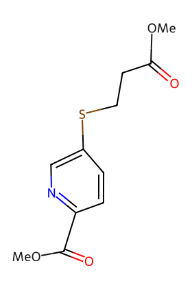 COC(=O)CCSc1ccc(C(=O)OC)nc1